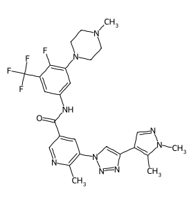 Cc1ncc(C(=O)Nc2cc(N3CCN(C)CC3)c(F)c(C(F)(F)F)c2)cc1-n1cc(-c2cnn(C)c2C)nn1